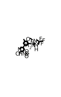 Cc1cc(-c2cnc(Cl)c(NS(C)(=O)=O)c2)cc2c1OCCN(C1(N)N=CC(C(F)(F)F)=CN1)C2